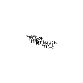 COc1cc(NC(=O)[C@@H]2CCC[C@@H](OC)C2)ccc1S(=O)(=O)Nc1cccc(C(F)(F)F)c1